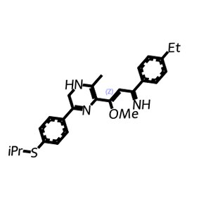 CCc1ccc(C(=N)/C=C(\OC)C2=C(C)NCC(c3ccc(SC(C)C)cc3)=N2)cc1